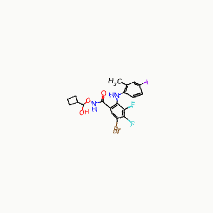 Cc1cc(I)ccc1Nc1c(C(=O)NOC(O)C2CCC2)cc(Br)c(F)c1F